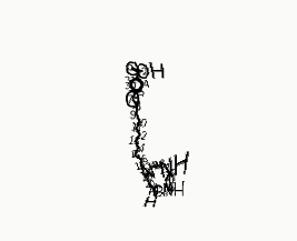 O=C(O)c1ccc(OCCCCCCCCCCN2CCNCCNCCNCC2)cc1